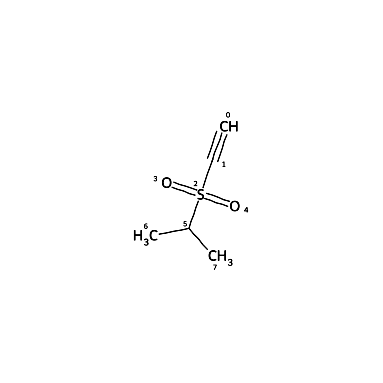 C#CS(=O)(=O)C(C)C